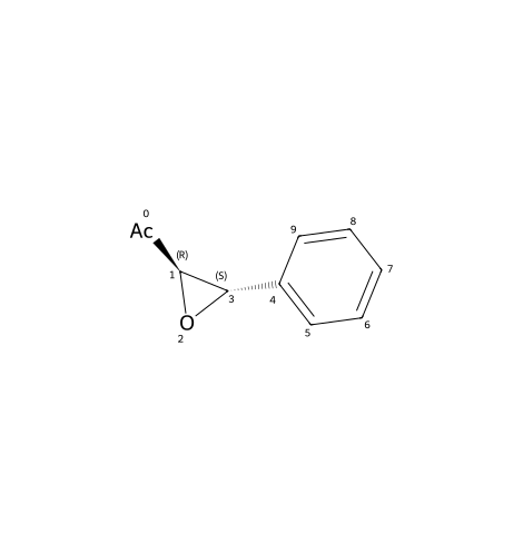 CC(=O)[C@@H]1O[C@H]1c1ccccc1